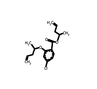 C=CCC(C)OC(=O)c1ccc(Cl)cc1OC(C)CC=C